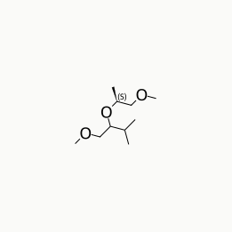 COCC(O[C@@H](C)COC)C(C)C